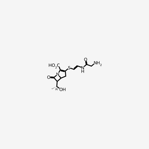 C[C@@H](O)C1C(=O)N2C(C(=O)O)=C(SC=CNC(=O)CN)CC12